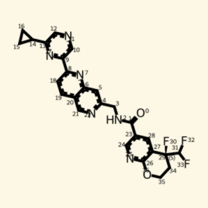 O=C(NCc1cc2nc(-c3cncc(C4CC4)n3)ccc2cn1)c1cnc2c(c1)[C@](F)(C(F)F)CCO2